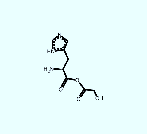 N[C@@H](Cc1cnc[nH]1)C(=O)OC(=O)CO